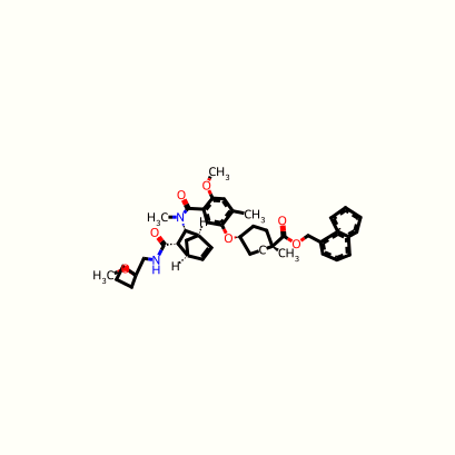 COc1cc(C)c(O[C@H]2CC[C@@](C)(C(=O)OCc3cccc4ccccc34)CC2)cc1C(=O)N(C)[C@H]1[C@@H](C(=O)NCC2(OC)CCC2)[C@@H]2C=C[C@H]1C2